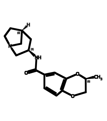 C[C@H]1COc2ccc(C(=O)N[C@@H]3C[C@@H]4CCN(C4)C3)cc2O1